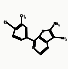 Cc1cc(-c2nccc3c(N)c(N)oc23)ccc1Cl